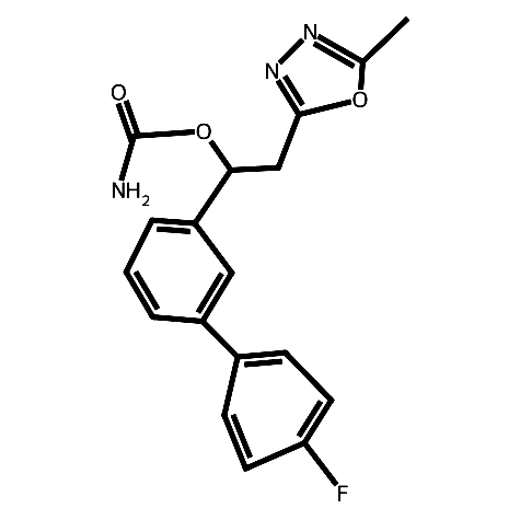 Cc1nnc(CC(OC(N)=O)c2cccc(-c3ccc(F)cc3)c2)o1